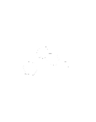 COc1ccc2c(N3CCNCC3)cccc2c1